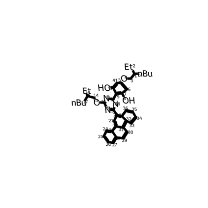 CCCCC(CC)COc1cc(O)c(-c2nc(OCC(CC)CCCC)nc(-c3cc4c5ccccc5ccc4c4ccccc34)n2)c(O)c1